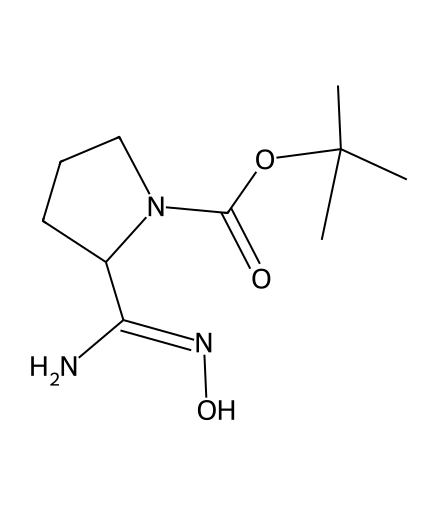 CC(C)(C)OC(=O)N1CCCC1C(N)=NO